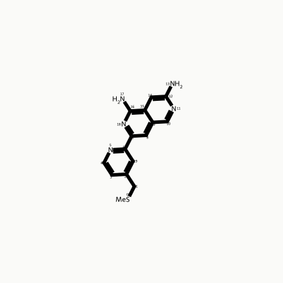 CSCc1ccnc(-c2cc3cnc(N)cc3c(N)n2)c1